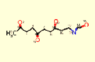 CC(=O)CCC(=O)CCC(=O)CCN=C=O